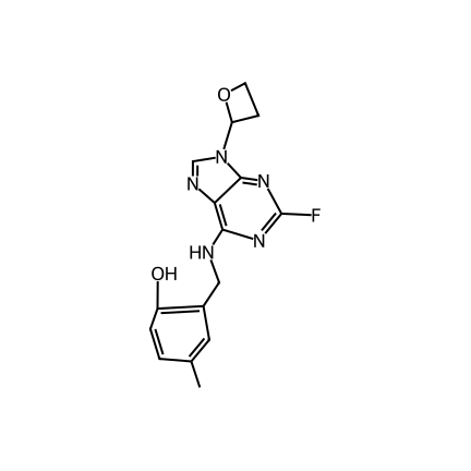 Cc1ccc(O)c(CNc2nc(F)nc3c2ncn3C2CCO2)c1